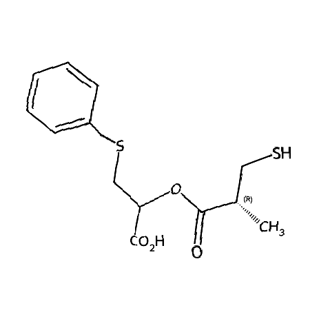 C[C@@H](CS)C(=O)OC(CSc1ccccc1)C(=O)O